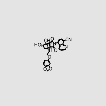 C[C@@]12O[C@@](CCOc3ccc4c(c3)OCO4)(C[C@H]1O)[C@@H]1C(=O)N(c3ccc(C#N)c4ncccc34)C(=O)[C@@H]12